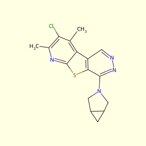 Cc1nc2sc3c(N4CC5CC5C4)nncc3c2c(C)c1Cl